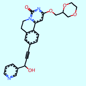 O=c1nc(OCC2COCCO2)cc2n1CCc1cc(C#CC(O)c3cccnc3)ccc1-2